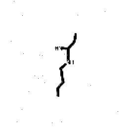 CCCCNC([NH])CC